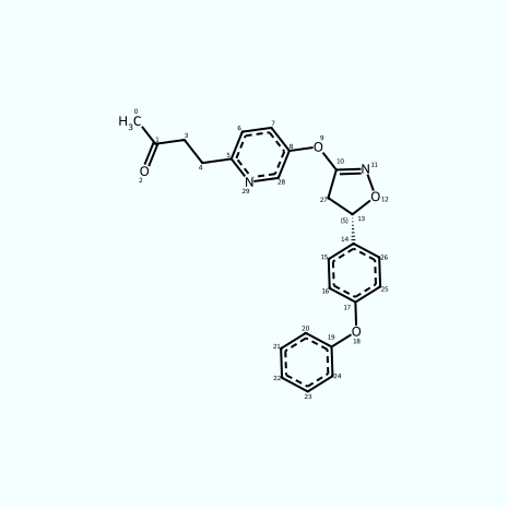 CC(=O)CCc1ccc(OC2=NO[C@H](c3ccc(Oc4ccccc4)cc3)C2)cn1